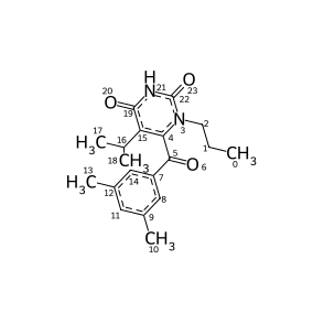 CCCn1c(C(=O)c2cc(C)cc(C)c2)c(C(C)C)c(=O)[nH]c1=O